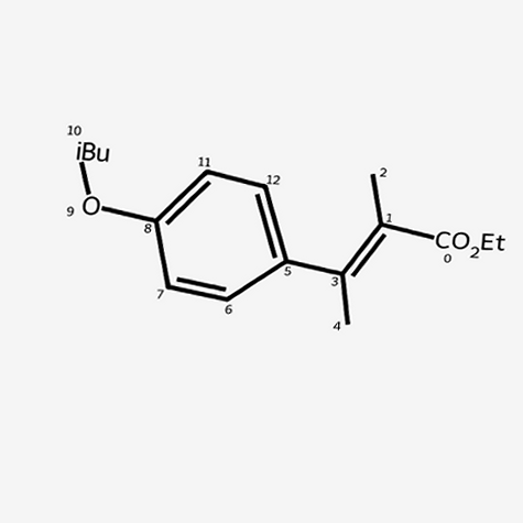 CCOC(=O)C(C)=C(C)c1ccc(OC(C)CC)cc1